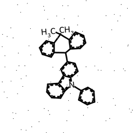 CC1(C)c2ccccc2C(c2ccc3c(c2)c2ccccc2n3-c2ccccc2)c2ccccc21